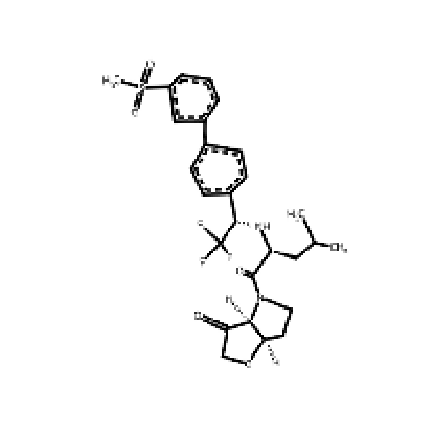 CC(C)C[C@H](N[C@@H](c1ccc(-c2cccc(S(C)(=O)=O)c2)cc1)C(F)(F)F)C(=O)N1CC[C@H]2OCC(=O)[C@H]21